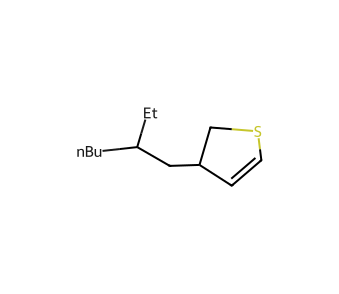 CCCCC(CC)CC1C=CSC1